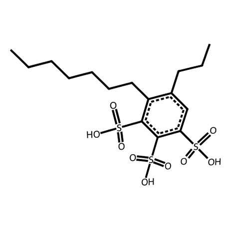 CCCCCCCc1c(CCC)cc(S(=O)(=O)O)c(S(=O)(=O)O)c1S(=O)(=O)O